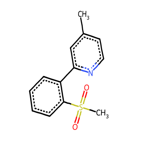 Cc1ccnc(-c2ccccc2S(C)(=O)=O)c1